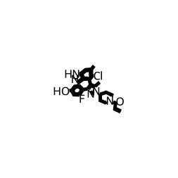 C=CC(=O)N1CCC(n2nc(-c3ccc(O)cc3F)c(-c3c(Cl)c(C)cc4[nH]ncc34)c2C)CC1